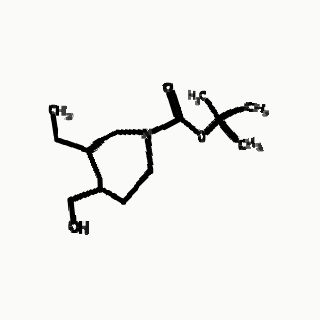 CCC1CN(C(=O)OC(C)(C)C)CCC1CO